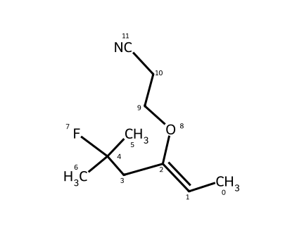 C/C=C(/CC(C)(C)F)OCCC#N